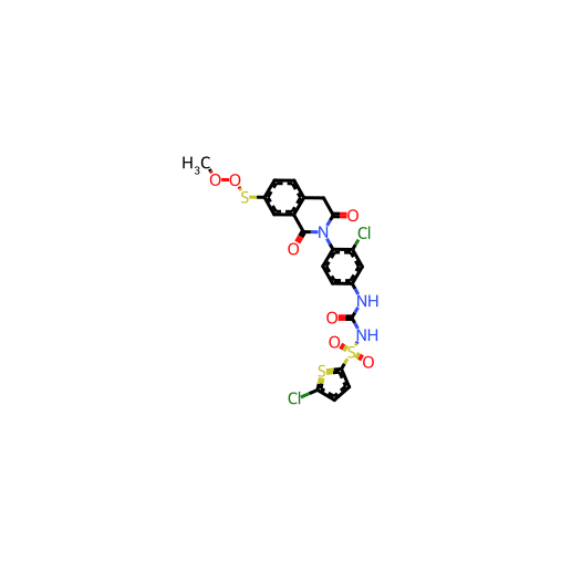 COOSc1ccc2c(c1)C(=O)N(c1ccc(NC(=O)NS(=O)(=O)c3ccc(Cl)s3)cc1Cl)C(=O)C2